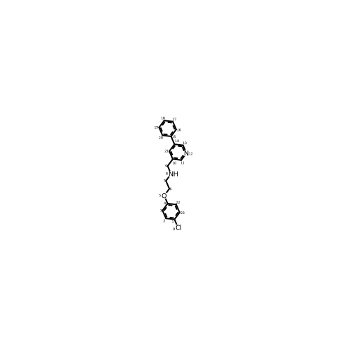 Clc1ccc(OCCNCc2cncc(-c3ccccc3)c2)cc1